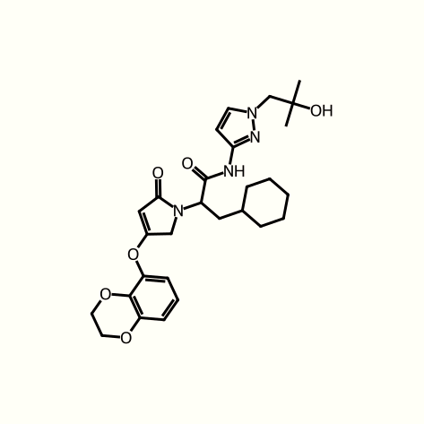 CC(C)(O)Cn1ccc(NC(=O)C(CC2CCCCC2)N2CC(Oc3cccc4c3OCCO4)=CC2=O)n1